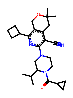 CC(C)C1CN(c2nc(C3CCC3)c3c(c2C#N)CC(C)(C)OC3)CCN1C(=O)C1CC1